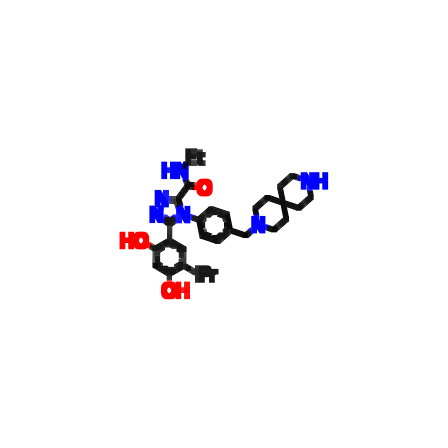 CCNC(=O)c1nnc(-c2cc(C(C)C)c(O)cc2O)n1-c1ccc(CN2CCC3(CCNCC3)CC2)cc1